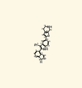 CC(C)c1c(-c2ccnc3[nH]ncc23)[nH]c2ccc(-c3cc4c(s3)CNCC4)cc12